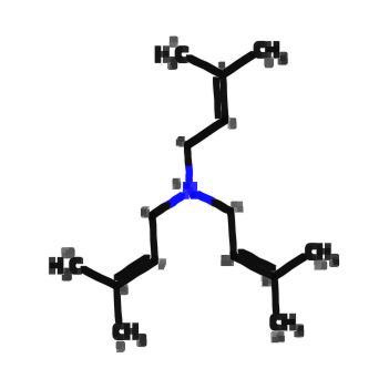 CC(C)=CCN(CC=C(C)C)CC=C(C)C